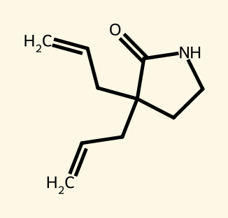 C=CCC1(CC=C)CCNC1=O